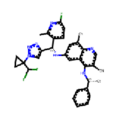 CC[C@@H](Nc1c(C#N)cnc2c(C#N)cc(N[C@H](c3cn(C4(C(F)F)CC4)nn3)c3ccc(F)nc3C)cc12)c1ccccc1